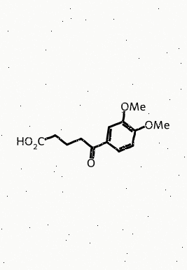 COc1ccc(C(=O)CCCC(=O)O)cc1OC